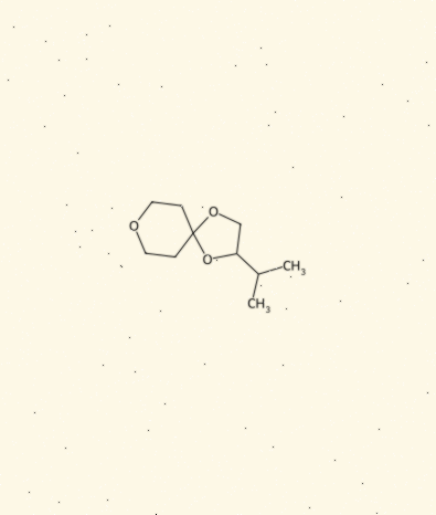 CC(C)C1COC2(CCOCC2)O1